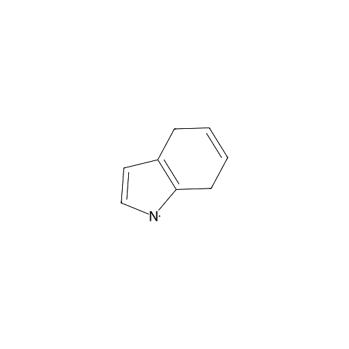 C1=CCC2=C(C=C[N]2)C1